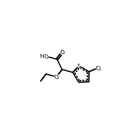 CCOC(C(=O)O)c1ccc(Cl)s1